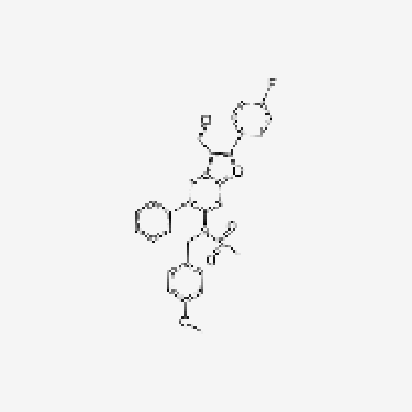 COc1ccc(CN(c2cc3oc(-c4ccc(F)cc4)c(C=O)c3cc2-c2ccccc2)S(C)(=O)=O)cc1